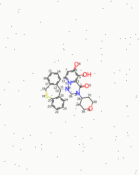 O=C1c2c(O)c(=O)ccn2N([C@H]2c3ccccc3CSc3ccccc32)CN1C1CCOCC1